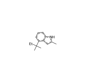 CCC(C)(C)c1cccc2[nH]c(C)cc12